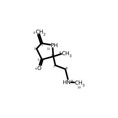 C=C1CC(=O)C(C)(CCNC)P1